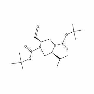 CC(C)[C@H]1CN(C(=O)OC(C)(C)C)[C@@H](C=O)CN1C(=O)OC(C)(C)C